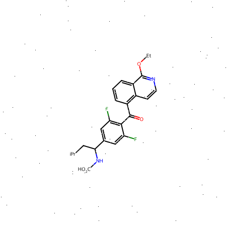 CCOc1nccc2c(C(=O)c3c(F)cc(C(CC(C)C)NC(=O)O)cc3F)cccc12